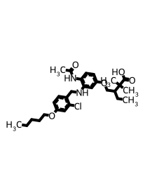 CCCCCOc1ccc(CNc2cc(OCC(CC)C(C)(C)C(=O)O)ccc2NC(C)=O)c(Cl)c1